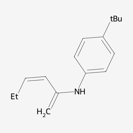 C=C(/C=C\CC)Nc1ccc(C(C)(C)C)cc1